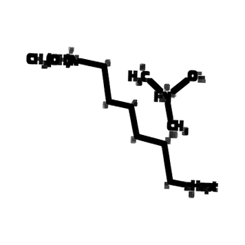 CCCCCCCCCCCCCN(C)O.C[NH+](C)[O-]